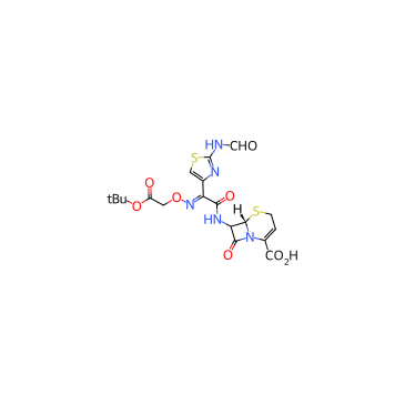 CC(C)(C)OC(=O)CON=C(C(=O)NC1C(=O)N2C(C(=O)O)=CCS[C@@H]12)c1csc(NC=O)n1